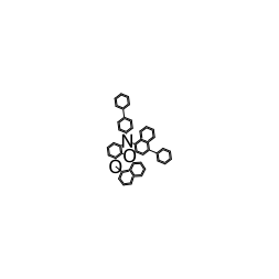 c1ccc(-c2ccc(N(c3cccc4c3Oc3cccc5cccc(c35)O4)c3ccc(-c4ccccc4)c4ccccc34)cc2)cc1